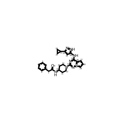 O=C(Cc1ccccc1)NC1CCN(c2nc(Nc3cc(C4CC4)n[nH]3)c3cccn3n2)CC1